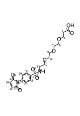 O=C(O)CCOCCOCCOCCNS(=O)(=O)c1ccc(N2C(=O)C=CC2=O)cc1